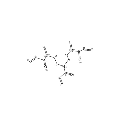 C=CC(=O)N(CC[N+](=C)C(=O)C=C)CC[N+](=C)C(=O)C=C